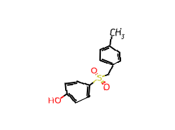 Cc1ccc(CS(=O)(=O)c2ccc(O)cc2)cc1